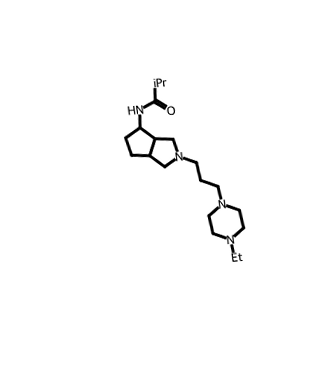 CCN1CCN(CCCN2CC3CCC(NC(=O)C(C)C)C3C2)CC1